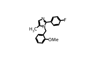 COc1ccccc1Cn1c(C)cnc1-c1ccc(F)cc1